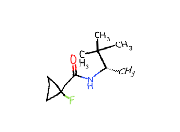 C[C@H](NC(=O)C1(F)CC1)C(C)(C)C